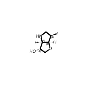 O[C@H]1CO[C@H]2[C@@H]1NC[C@H]2I